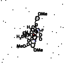 COCOc1cc(OC)cc(/C=C/C[C@@H]2OC(C)(C)O[C@@H]2C(OC(=O)c2ccccc2)/C(F)=C\C[C@@H](C)OCc2ccc(OC)cc2)c1C(=O)OCC[Si](C)(C)C